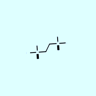 CC(C)P(=O)(O)CCP(=O)(O)C(C)C